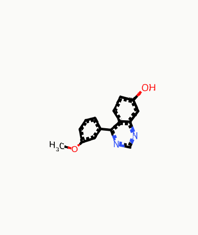 COc1cccc(-c2ncnc3cc(O)ccc23)c1